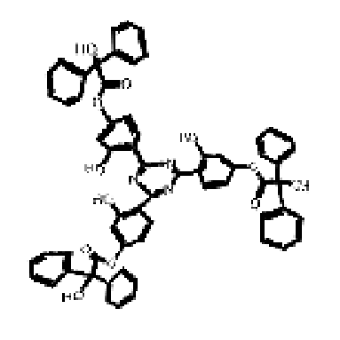 O=C(Oc1ccc(-c2nc(-c3ccc(OC(=O)C(O)(c4ccccc4)c4ccccc4)cc3O)nc(-c3ccc(OC(=O)C(O)(c4ccccc4)c4ccccc4)cc3O)n2)c(O)c1)C(O)(c1ccccc1)c1ccccc1